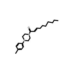 CCCCCCCC=CC(=O)N1CCN(c2ccc(C)cc2)CC1